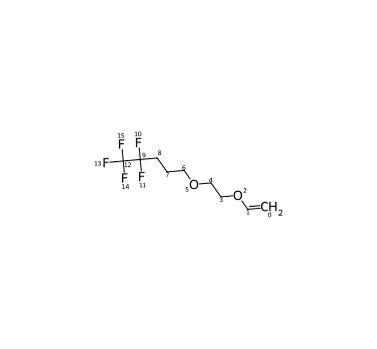 C=COCCOCCCC(F)(F)C(F)(F)F